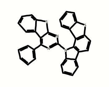 c1ccc(-c2nc(-n3c4ccccc4c4ccc5sc6ccccc6c5c43)nc3sc4ccccc4c23)cc1